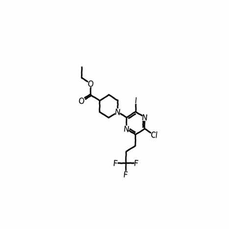 CCOC(=O)C1CCN(c2nc(CCC(F)(F)F)c(Cl)nc2I)CC1